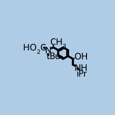 CC(C)NC[C@@H](O)c1ccc([C@H](C)N(C(=O)O)C(C)(C)C)cc1